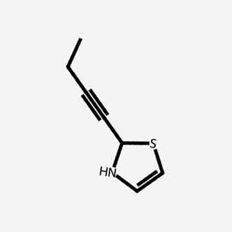 CCC#CC1NC=CS1